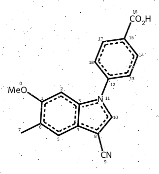 COc1cc2c(cc1C)c(C#N)cn2-c1ccc(C(=O)O)cc1